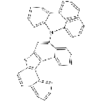 c1ccc(-c2ccccc2N(c2ccccc2)c2cc3sc4ccc5ccccc5c4c3c3ccccc23)cc1